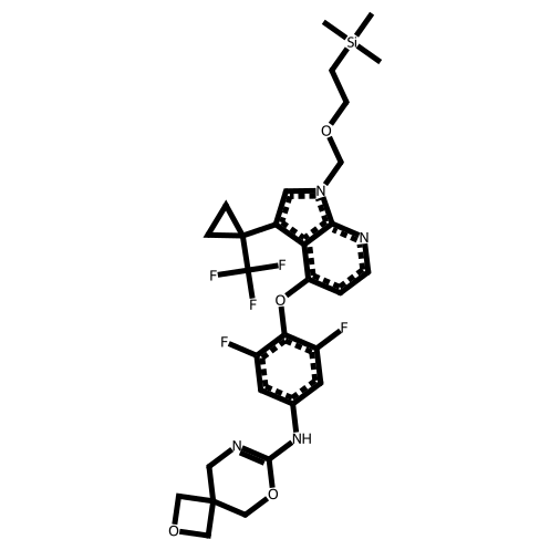 C[Si](C)(C)CCOCn1cc(C2(C(F)(F)F)CC2)c2c(Oc3c(F)cc(NC4=NCC5(COC5)CO4)cc3F)ccnc21